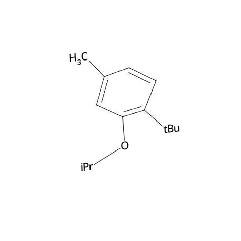 Cc1ccc(C(C)(C)C)c(OC(C)C)c1